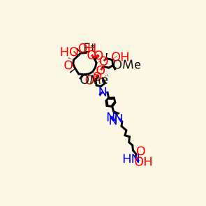 CCC1OC(=O)[C@H](C)[C@H](OC2C[C@@](C)(OC)[C@@H](O)[C@H](C)O2)[C@H](C)[C@@H](OC2C[C@@H](N(C)Cc3ccc(-c4cn(CCCCCCCCC(=O)NO)nn4)cc3)C[C@@H](C)O2)[C@@](C)(OC)C[C@@H](C)C(=O)[C@H](C)[C@@H](O)[C@]1(C)O